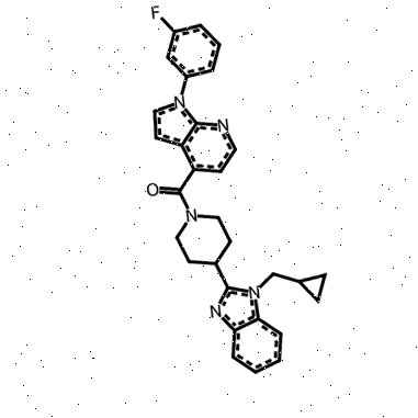 O=C(c1ccnc2c1ccn2-c1cccc(F)c1)N1CCC(c2nc3ccccc3n2CC2CC2)CC1